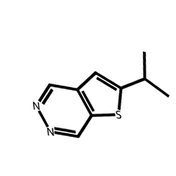 CC(C)c1cc2cnncc2s1